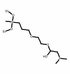 CCO[Si](C)(CCCOCCOC(O)CN(C)C)OCC